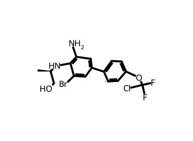 C[C@H](CO)Nc1c(N)cc(-c2[c]cc(OC(F)(F)Cl)cc2)cc1Br